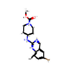 CCc1cc(Br)cc2cnc(NC3CCN(C(=O)OC(C)(C)C)CC3)nc12